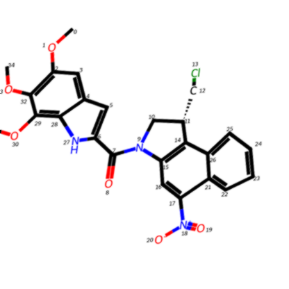 COc1cc2cc(C(=O)N3C[C@H](CCl)c4c3cc([N+](=O)[O-])c3ccccc43)[nH]c2c(OC)c1OC